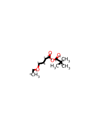 CCOCCCC(=O)OC(=O)C(C)(C)C